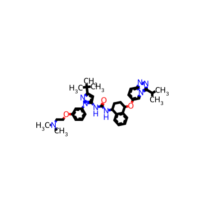 CC(C)c1nnc2ccc(OC3CCC(NC(=O)Nc4cc(C(C)(C)C)nn4-c4cccc(OCCN(C)C)c4)c4ccccc43)cn12